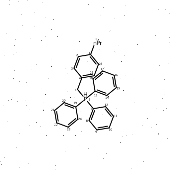 CCCc1ccc(C[PH](c2ccccc2)(c2ccccc2)c2ccccc2)cc1